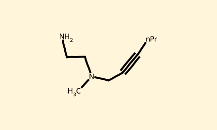 CCCC#CCN(C)CCN